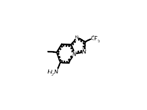 Cc1cc2nc(C(F)(F)F)nn2cc1N